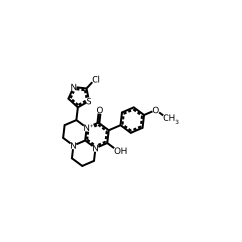 COc1ccc(-c2c(O)n3c4[n+](c2=O)C(c2cnc(Cl)s2)CCN4CCC3)cc1